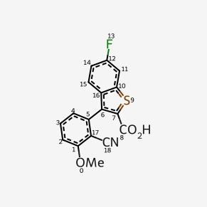 COc1cccc(-c2c(C(=O)O)sc3cc(F)ccc23)c1C#N